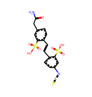 NC(=O)Cc1ccc(C=Cc2ccc(N=C=S)cc2S(=O)(=O)O)c(S(=O)(=O)O)c1